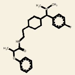 CC(Oc1ccccc1)C(=O)NCCC1CCC(C(c2ccc(F)cc2)N(C)C)CC1